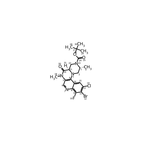 C[C@@H]1CN2c3c(cnc4c(F)c(Br)c(Cl)cc34)N(C)C(=O)[C@H]2CN1C(=O)OC(C)(C)C